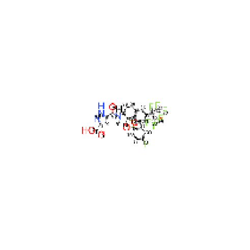 O=C(O)c1cc(C(=O)N2CC[C@@]3(S(=O)(=O)c4ccc(F)cc4)c4ccc(C(F)(C(F)(F)F)C(F)(F)F)cc4CC[C@@H]23)[nH]n1